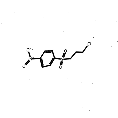 O=[N+]([O-])c1ccc(S(=O)(=O)CCCCl)cc1